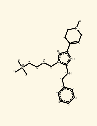 CN1CC=C(c2nc(NCc3ccccc3)n(COCC[Si](C)(C)C)n2)CC1